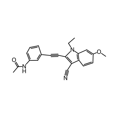 CCn1c(C#Cc2cccc(NC(C)=O)c2)c(C#N)c2ccc(OC)cc21